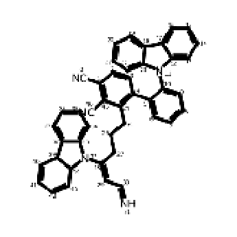 N#Cc1ccc(-c2ccccc2-n2c3ccccc3c3ccccc32)c(CCC/C(=C\C=N)N2c3ccccc3C3C=CC=CC32)c1C#N